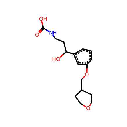 O=C(O)NCCC(O)c1cccc(OCC2CCOCC2)c1